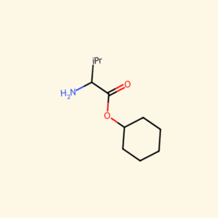 CC(C)C(N)C(=O)OC1CCCCC1